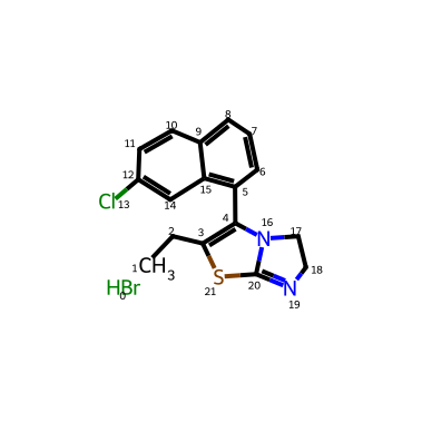 Br.CCC1=C(c2cccc3ccc(Cl)cc23)N2CCN=C2S1